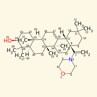 C=C(N1CCOCC1)[C@]12CCC(C)(C)C[C@H]1C1=CC[C@@H]3[C@@]4(C)CC[C@H](O)C(C)(C)[C@@H]4CC[C@@]3(C)[C@]1(C)CC2